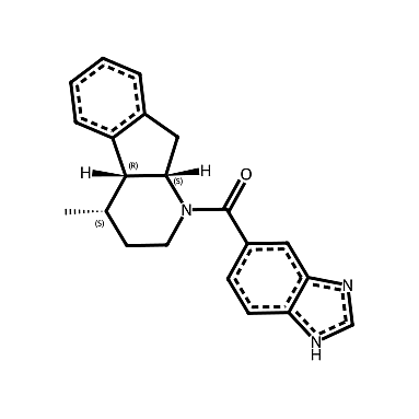 C[C@H]1CCN(C(=O)c2ccc3[nH]cnc3c2)[C@H]2Cc3ccccc3[C@@H]12